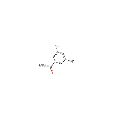 [C-]#[N+]c1cc(C(=O)OC)cc(C(F)(F)F)c1